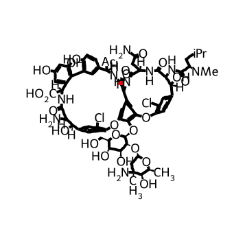 CN[C@H](CC(C)C)C(=O)NC1C(=O)N[C@@H](CC(N)=O)C(=O)N[C@H]2C(=O)N[C@@H](C(C)=O)c3ccc(O)c(c3)-c3c(O)cc(O)cc3[C@@H](C(=O)O)NC(=O)[C@@H](N)[C@H](O)c3ccc(c(Cl)c3)Oc3cc2cc(c3O[C@@H]2O[C@H](CO)[C@@H](O)[C@H](O)[C@H]2O[C@H]2C[C@](C)(N)[C@H](O)[C@H](C)O2)Oc2ccc(cc2Cl)[C@H]1O